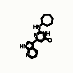 O=c1cc(-c2c[nH]c3ncccc23)nc(NC2CCCCCC2)[nH]1